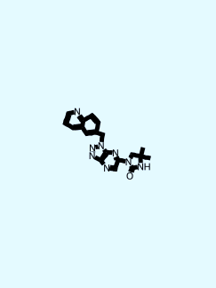 CC1(C)CN(c2cnc3nnn(Cc4ccc5ncccc5c4)c3n2)C(=O)N1